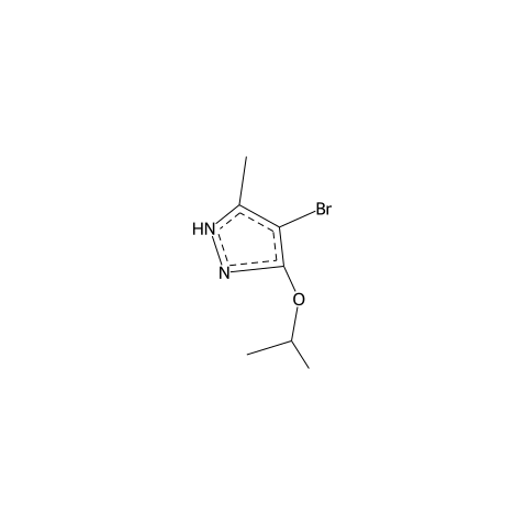 Cc1[nH]nc(OC(C)C)c1Br